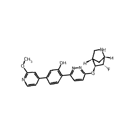 COc1cc(-c2ccc(-c3ccc(O[C@H]4[C@@H]5CN[C@@H](C5)[C@@H]4F)nn3)c(O)c2)ccn1